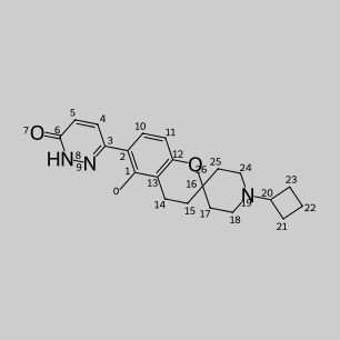 Cc1c(-c2ccc(=O)[nH]n2)ccc2c1CCC1(CCN(C3CCC3)CC1)O2